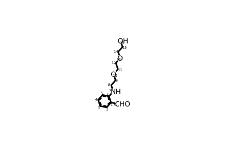 O=Cc1ccccc1NCCOCCOCCO